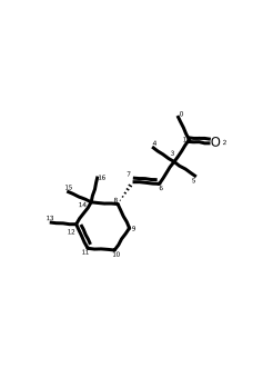 CC(=O)C(C)(C)/C=C/[C@@H]1CCC=C(C)C1(C)C